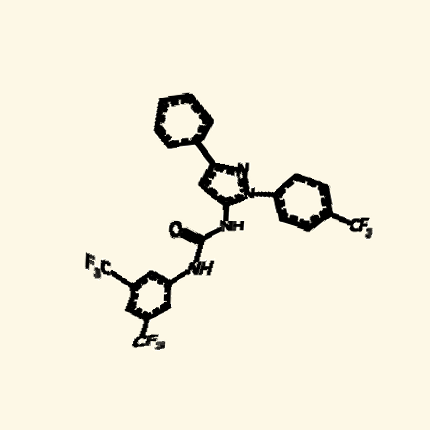 O=C(Nc1cc(C(F)(F)F)cc(C(F)(F)F)c1)Nc1cc(-c2ccccc2)nn1-c1ccc(C(F)(F)F)cc1